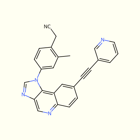 Cc1cc(-n2cnc3cnc4ccc(C#Cc5cccnc5)cc4c32)ccc1CC#N